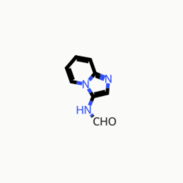 O=CNc1cnc2ccccn12